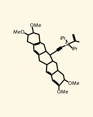 C=C(C)[Si](C#CC1C2CC3=C(C=C2CC2C=C4C=C(OC)C(OC)CC4CC21)CC(OC)C(OC)C3)(C(C)C)C(C)C